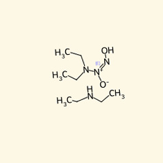 CCN(CC)/[N+]([O-])=N\O.CCNCC